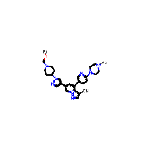 CCOCN1CCC(n2cc(-c3cc(-c4ccc(N5CCN(C(C)=O)CC5)nc4)c4c(C#N)cnn4c3)cn2)CC1